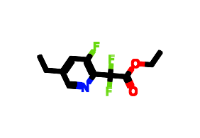 CCOC(=O)C(F)(F)c1ncc(CC)cc1F